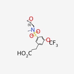 CN(C[C@H]1CO1)S(=O)(=O)c1cc(CCC(=O)O)cc(OC(F)(F)F)c1